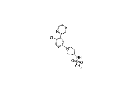 CS(=O)(=O)NC1CCN(c2cc(-c3ccccn3)c(Cl)cn2)CC1